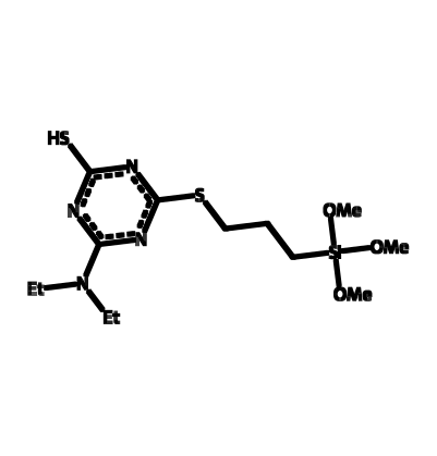 CCN(CC)c1nc(S)nc(SCCC[Si](OC)(OC)OC)n1